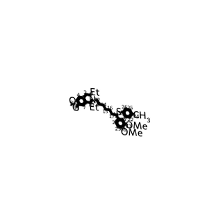 CCC1Cc2cc3c(cc2C(CC)N1CCCCCCC(Sc1ccc(C)cc1)c1ccc(OC)c(OC)c1)OCO3